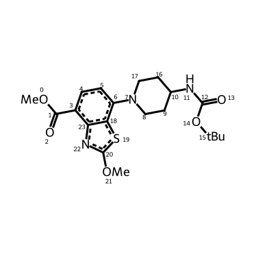 COC(=O)c1ccc(N2CCC(NC(=O)OC(C)(C)C)CC2)c2sc(OC)nc12